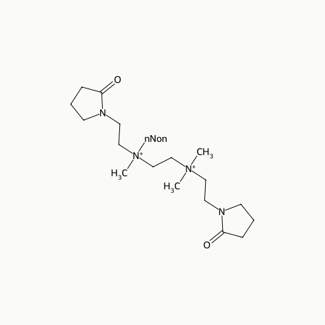 CCCCCCCCC[N+](C)(CCN1CCCC1=O)CC[N+](C)(C)CCN1CCCC1=O